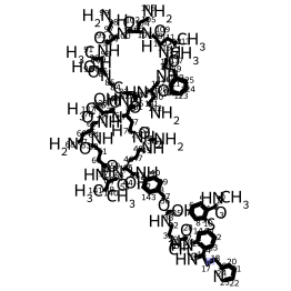 CNC(=O)c1ccccc1Sc1ccc(C(=N)/C=C/c2ccccn2)c(NC(=O)N(C)CCNC(O)OCc2ccc(NC(O)[C@H](CCCNC(N)=O)NC(=O)[C@H](NC(=O)CCC(=O)NC(CCN)C(=O)N[C@H](C(=O)NC(CCN)C(=O)NC3CCNC(=O)C([C@@H](C)O)NC(=O)[C@@H](CCN)NC(=O)C(CCN)NC(=O)C(CC(C)C)NC(=O)[C@@H](Cc4ccccc4)NC(=O)C(CCN)NC3=O)[C@H](C)O)C(C)C)cc2)c1